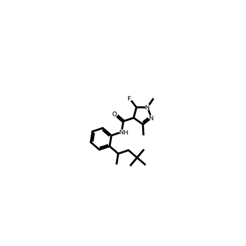 CC1=NN(C)C(F)C1C(=O)Nc1ccccc1C(C)CC(C)(C)C